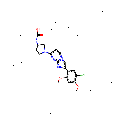 COc1cc(OC)c(-c2cn3ccc(N4CCC(NC(=O)O)C4)nc3n2)cc1Cl